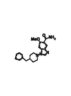 COc1cc2c(cc1C(N)=O)ncn2N1CCC(Cc2ccccc2)CC1